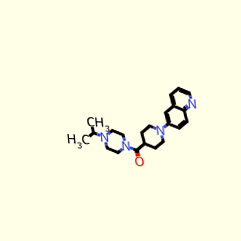 CC(C)N1CCN(C(=O)C2CCN(c3ccc4ncccc4c3)CC2)CC1